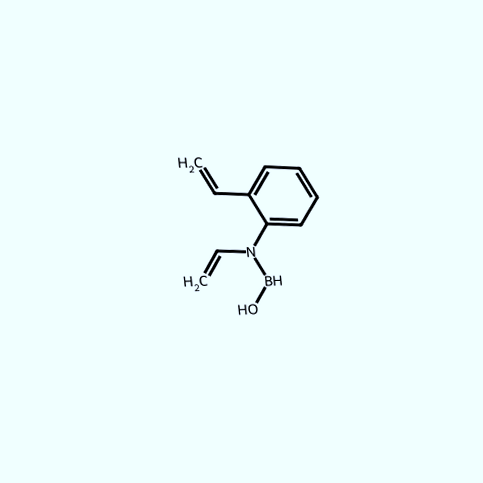 C=Cc1ccccc1N(BO)C=C